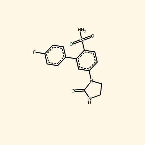 NS(=O)(=O)c1ccc(N2CCNC2=O)cc1-c1ccc(F)cc1